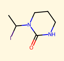 CC(I)N1CCCNC1=O